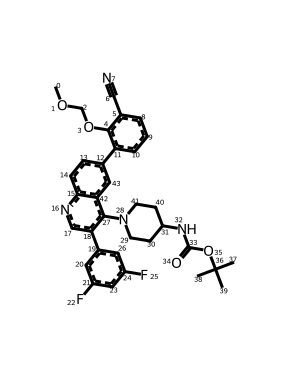 COCOc1c(C#N)cccc1-c1ccc2ncc(-c3cc(F)cc(F)c3)c(N3CCC(NC(=O)OC(C)(C)C)CC3)c2c1